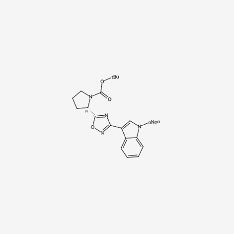 CCCCCCCCCn1cc(-c2noc([C@@H]3CCCN3C(=O)OC(C)(C)C)n2)c2ccccc21